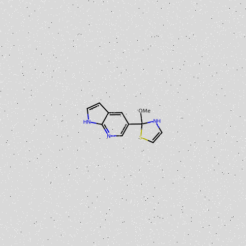 COC1(c2cnc3[nH]ccc3c2)NC=CS1